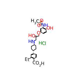 CCc1cc([C@H]2CC[C@H](NC[C@H](O)COc3ccc(O)c(NS(C)(=O)=O)c3)CC2)ccc1C(=O)O.Cl